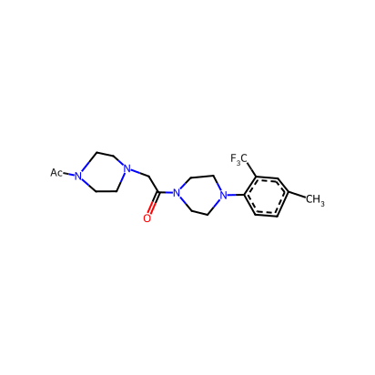 CC(=O)N1CCN(CC(=O)N2CCN(c3ccc(C)cc3C(F)(F)F)CC2)CC1